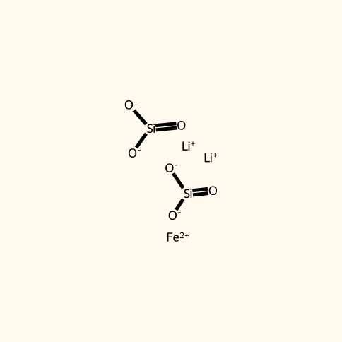 O=[Si]([O-])[O-].O=[Si]([O-])[O-].[Fe+2].[Li+].[Li+]